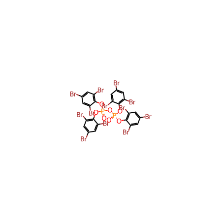 O=P(Oc1c(Br)cc(Br)cc1Br)(Oc1c(Br)cc(Br)cc1Br)OP(=O)(Oc1c(Br)cc(Br)cc1Br)Oc1c(Br)cc(Br)cc1Br